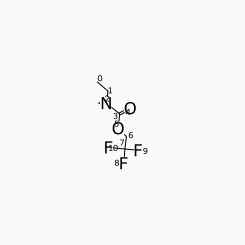 CC[N]C(=O)OCC(F)(F)F